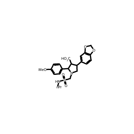 CCCNS(=O)(=O)CN1CC(c2ccc3c(c2)OCO3)C(C(=O)O)C1c1ccc(OC)cc1